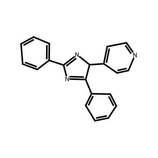 c1ccc(C2=NC(c3ccncc3)C(c3ccccc3)=N2)cc1